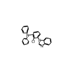 Clc1c(N(c2ccccc2)c2ccccc2)cccc1-n1cnc2ccccc21